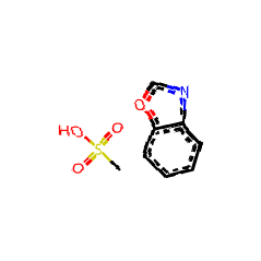 CS(=O)(=O)O.c1ccc2ocnc2c1